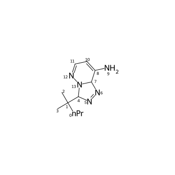 CCCC(C)(C)C1N=NC2C(N)=CC=NN21